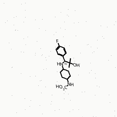 CC(C)(O)[C@@H](NC1CCC(NC(=O)O)CC1)c1ccc(F)cc1